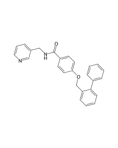 O=C(NCc1cccnc1)c1ccc(OCc2ccccc2-c2ccccc2)cc1